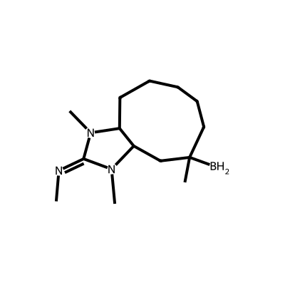 BC1(C)CCCCCC2C(C1)N(C)/C(=N\C)N2C